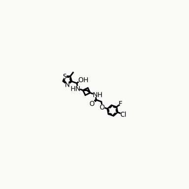 Cc1scnc1C(O)NC12CC(NC(=O)COc3ccc(Cl)c(F)c3)(C1)C2